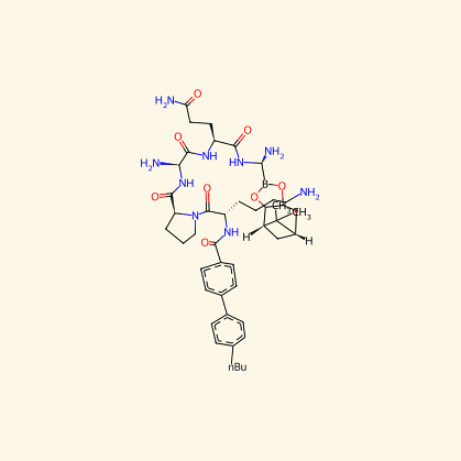 CCCCc1ccc(-c2ccc(C(=O)N[C@@H](CCCCN)C(=O)N3CCC[C@H]3C(=O)N[C@@H](N)C(=O)N[C@@H](CCC(N)=O)C(=O)N[C@@H](N)B3OC4C[C@@H]5C[C@H](C4O3)C5(C)C)cc2)cc1